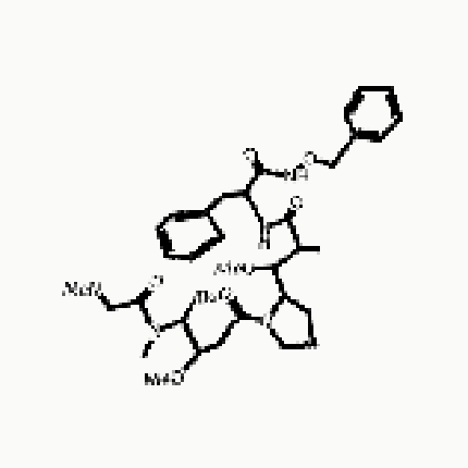 CCC(C)C(C(CC(=O)N1CCCC1C(OC)C(C)C(=O)NC(Cc1ccccc1)C(=O)NOCc1ccccc1)OC)N(C)C(=O)CNC